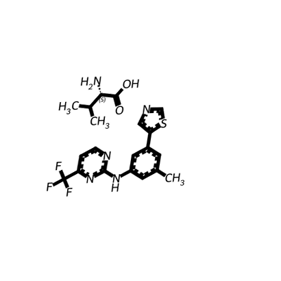 CC(C)[C@H](N)C(=O)O.Cc1cc(Nc2nccc(C(F)(F)F)n2)cc(-c2cncs2)c1